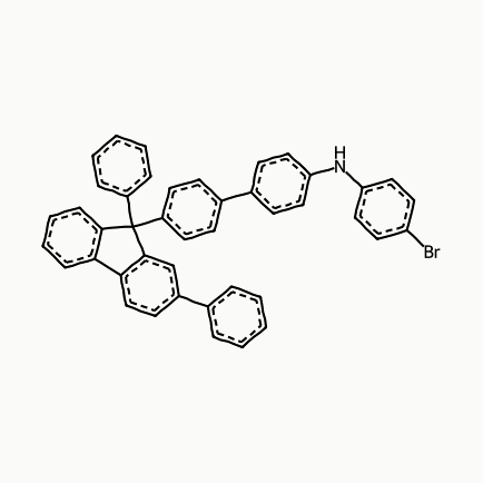 Brc1ccc(Nc2ccc(-c3ccc(C4(c5ccccc5)c5ccccc5-c5ccc(-c6ccccc6)cc54)cc3)cc2)cc1